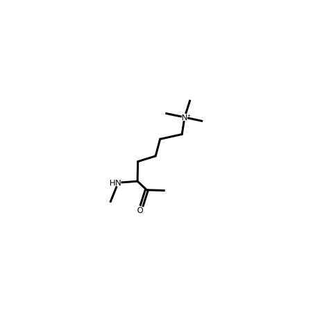 CNC(CCCC[N+](C)(C)C)C(C)=O